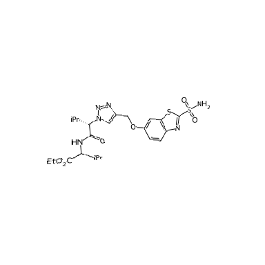 CCOC(=O)C(NC(=O)[C@H](C(C)C)n1cc(COc2ccc3nc(S(N)(=O)=O)sc3c2)nn1)C(C)C